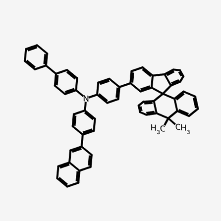 CC1(C)c2ccccc2C2(c3ccccc3-c3ccc(-c4ccc(N(c5ccc(-c6ccccc6)cc5)c5ccc(-c6ccc7ccccc7c6)cc5)cc4)cc32)c2ccccc21